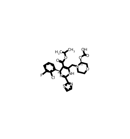 CC(C)OC(=O)C1=C(CN2CCOC[C@@H]2OC(=O)O)NC(c2nccs2)=N[C@H]1c1cccc(F)c1Cl